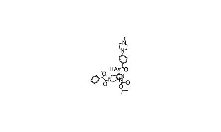 COC(C(=O)N1Cc2c([AsH]C(=O)c3ccc(N4CCN(C)CC4)cc3)nn(C(=O)OC(C)C)c2C1)c1ccccc1